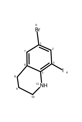 Brc1cc(I)c2c(c1)CCCN2